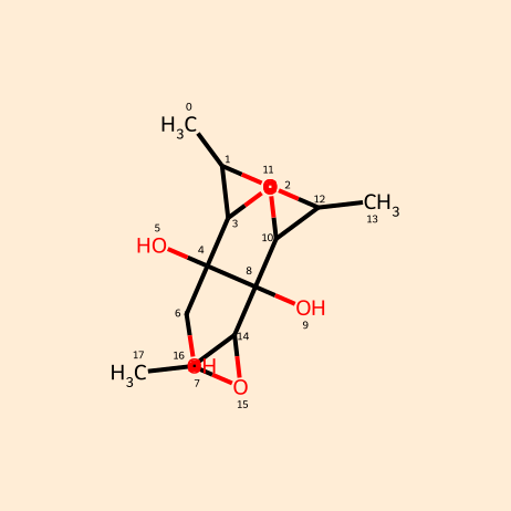 CC1OC1C(O)(CO)C(O)(C1OC1C)C1OC1C